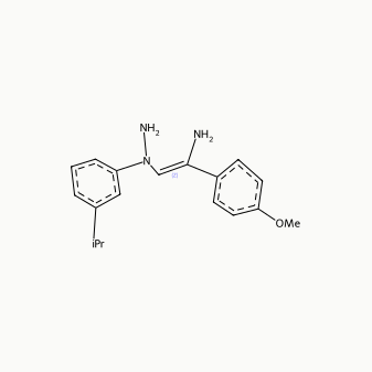 COc1ccc(/C(N)=C/N(N)c2cccc(C(C)C)c2)cc1